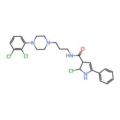 O=C(NCCCN1CCN(c2cccc(Cl)c2Cl)CC1)C1C=C(c2ccccc2)NC1Cl